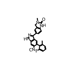 Cc1cccc(F)c1-c1cc2c(-c3ccc4c(c3)CN(C)C(=O)N4)n[nH]c2cc1C#N